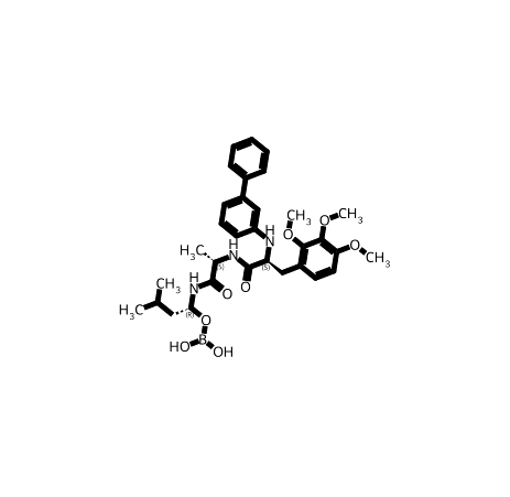 COc1ccc(C[C@H](Nc2cccc(-c3ccccc3)c2)C(=O)N[C@@H](C)C(=O)N[C@@H](CC(C)C)OB(O)O)c(OC)c1OC